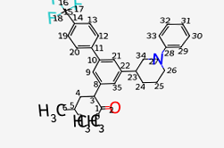 CC(=O)C(CC(C)C)c1cc(-c2ccc(C(F)(F)F)cc2)cc(C2CCCN(c3ccccc3)C2)c1